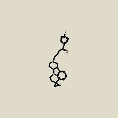 O=C(CCCN1CCC2C(C1)c1cccc3c1N2CCC31CC1)c1ccc(F)cc1